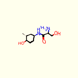 C[C@@H]1C[C@@H](NC(=O)C(N)CO)CCC1O